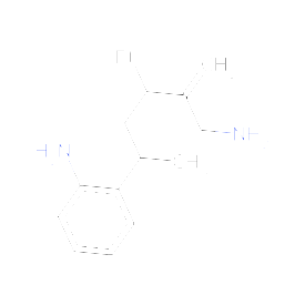 C=C(CN)C(CC)CC(C)c1ccccc1N